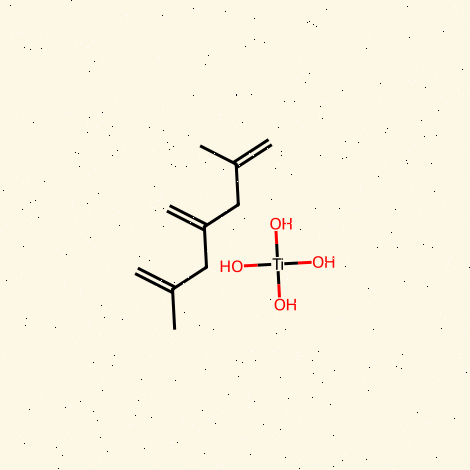 C=C(C)CC(=C)CC(=C)C.[OH][Ti]([OH])([OH])[OH]